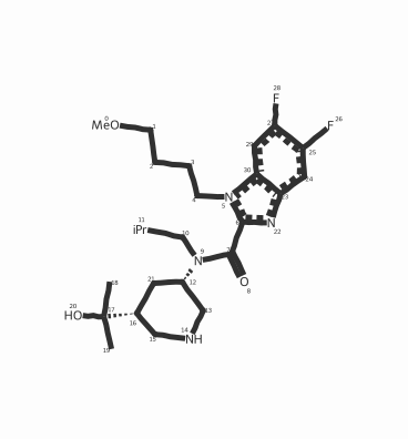 COCCCCn1c(C(=O)N(CC(C)C)[C@@H]2CNC[C@H](C(C)(C)O)C2)nc2cc(F)c(F)cc21